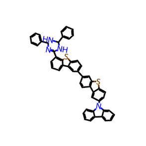 c1ccc(C2N=C(c3cccc4c3sc3ccc(-c5ccc6c(c5)sc5ccc(-n7c8ccccc8c8ccccc87)cc56)cc34)NC(c3ccccc3)N2)cc1